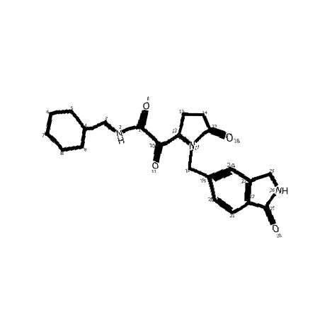 O=C(NCC1CCCCC1)C(=O)C1CCC(=O)N1Cc1ccc2c(c1)CNC2=O